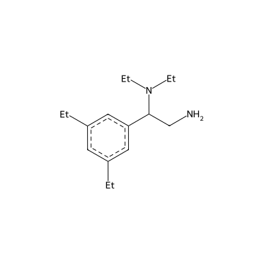 CCc1cc(CC)cc(C(CN)N(CC)CC)c1